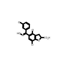 O=C(O)C1Cc2c(Cl)c(/C(=N/O)c3cccc(Cl)c3)cc(Cl)c2O1